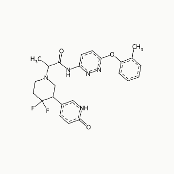 Cc1ccccc1Oc1ccc(NC(=O)C(C)N2CCC(F)(F)C(c3ccc(=O)[nH]c3)C2)nn1